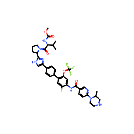 COC(=O)N[C@H](C(=O)N1CCCC1c1nc(-c2ccc(-c3cc(F)c(NC(=O)c4ccc(N5CCNCC5C)nc4)cc3OC(F)(F)F)cc2)c[nH]1)C(C)C